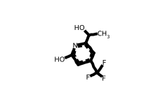 CC(O)c1cc(C(F)(F)F)cc(O)n1